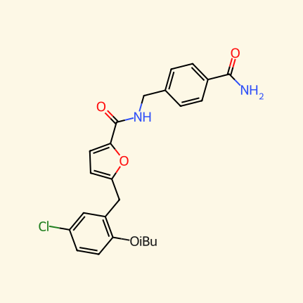 CC(C)COc1ccc(Cl)cc1Cc1ccc(C(=O)NCc2ccc(C(N)=O)cc2)o1